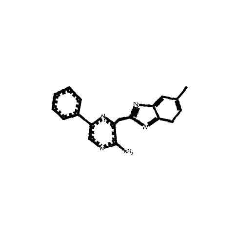 CC1=CCC2=NC(c3nc(-c4cc[c]cc4)cnc3N)=NC2=C1